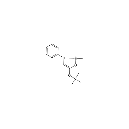 C[Si](C)(C)OC(=COc1ccccc1)O[Si](C)(C)C